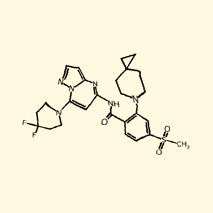 CS(=O)(=O)c1ccc(C(=O)Nc2cc(N3CCC(F)(F)CC3)n3nccc3n2)c(N2CCC3(CC2)CC3)c1